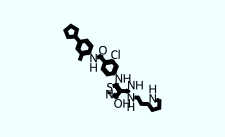 Cc1cc(C2CCCC2)ccc1NC(=O)c1ccc(Nc2snc(O)c2C(=N)NCCC2CCCN2)cc1Cl